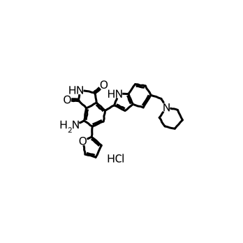 Cl.Nc1c(-c2ccco2)cc(-c2cc3cc(CN4CCCCC4)ccc3[nH]2)c2c1C(=O)NC2=O